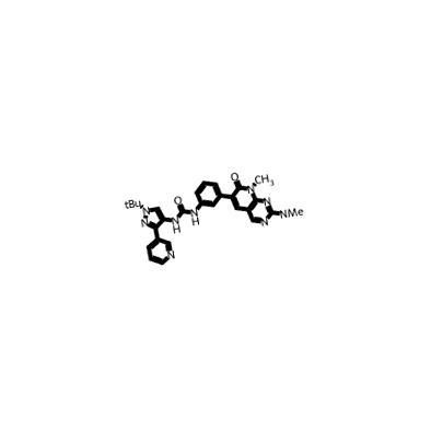 CNc1ncc2cc(-c3cccc(NC(=O)Nc4cn(C(C)(C)C)nc4-c4cccnc4)c3)c(=O)n(C)c2n1